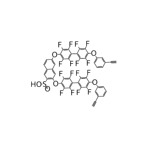 C#Cc1cccc(Oc2c(F)c(F)c(-c3c(F)c(F)c(Oc4ccc5cc(S(=O)O)c(Oc6c(F)c(F)c(-c7c(F)c(F)c(Oc8cccc(C#C)c8)c(F)c7F)c(F)c6F)cc5c4)c(F)c3F)c(F)c2F)c1